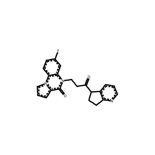 O=C(CCn1c(=O)c2cccn2c2ccc(F)cc21)C1CCc2ncccc21